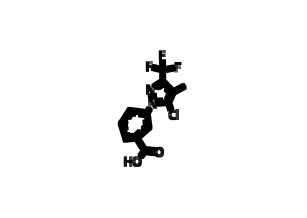 Cc1c(C(F)(F)F)nn(-c2cccc(C(=O)O)c2)c1Cl